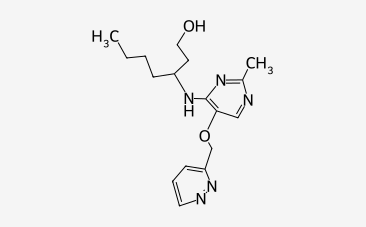 CCCCC(CCO)Nc1nc(C)ncc1OCc1cccnn1